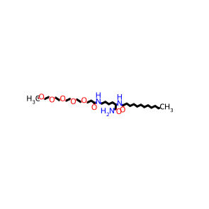 CCCCCCCCCCCC(=O)NC(CCCCNC(=O)CCOCCOCCOCCOCCOC)C(N)=O